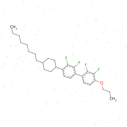 CCCCCCCCC1CCC(c2ccc(-c3ccc(OCCC)c(F)c3F)c(F)c2F)CC1